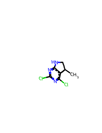 CC1CNc2nc(Cl)nc(Cl)c21